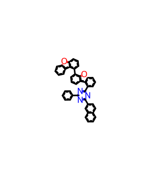 c1ccc(-c2nc(-c3ccc4ccccc4c3)nc(-c3cccc4oc5c(-c6cccc7oc8ccccc8c67)cccc5c34)n2)cc1